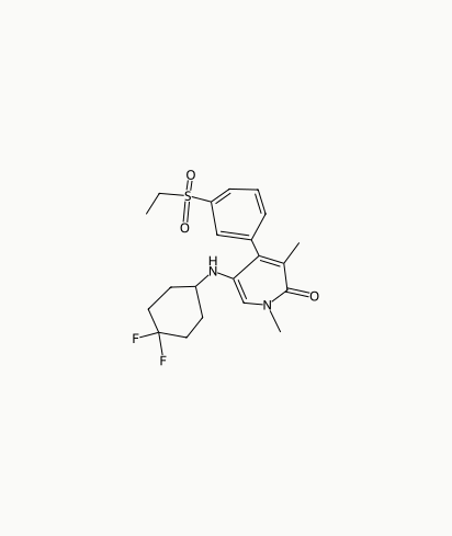 CCS(=O)(=O)c1cccc(-c2c(NC3CCC(F)(F)CC3)cn(C)c(=O)c2C)c1